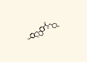 O=C(NCC1CCNCC1)c1ccc2c(c1)CCCN2Cc1ccc(Cl)cc1Cl